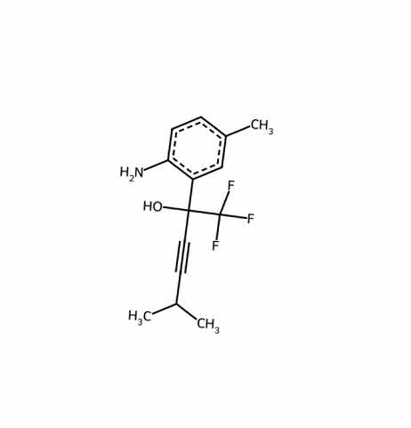 Cc1ccc(N)c(C(O)(C#CC(C)C)C(F)(F)F)c1